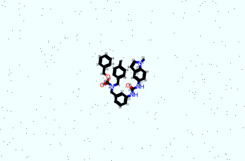 Cc1ccc(CN(Cc2cccc(NC(=O)Nc3ccc4c(ccn4C)c3)c2)C(=O)OCc2ccccc2)cc1